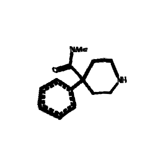 CNC(=O)C1(c2ccccc2)CCNCC1